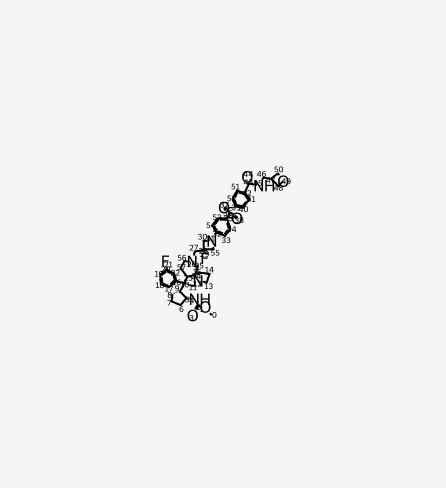 COC(=O)N[C@H]1CCC[C@@H]1[C@](CN1CCC1)(c1cccc(F)c1)C1CCN(CC2(F)CN(c3ccc(S(=O)(=O)c4ccc(C(=O)NCC5COC5)cc4)cc3)C2)CC1